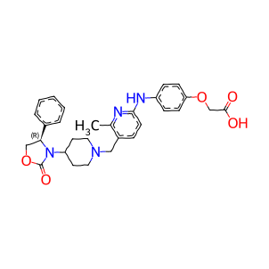 Cc1nc(Nc2ccc(OCC(=O)O)cc2)ccc1CN1CCC(N2C(=O)OC[C@H]2c2ccccc2)CC1